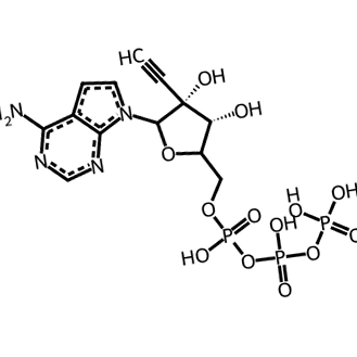 C#C[C@]1(O)C(n2ccc3c(N)ncnc32)OC(COP(=O)(O)OP(=O)(O)OP(=O)(O)O)[C@H]1O